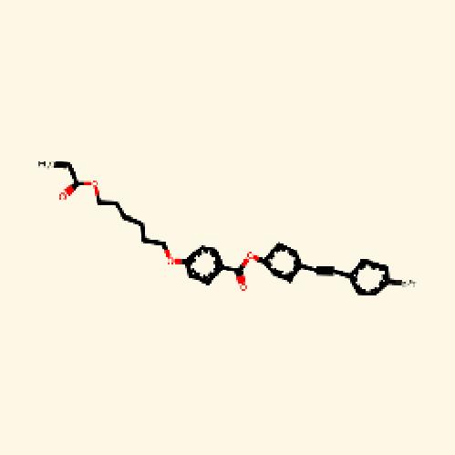 C=CC(=O)OCCCCCCOc1ccc(C(=O)Oc2ccc(C#Cc3ccc(CCC)cc3)cc2)cc1